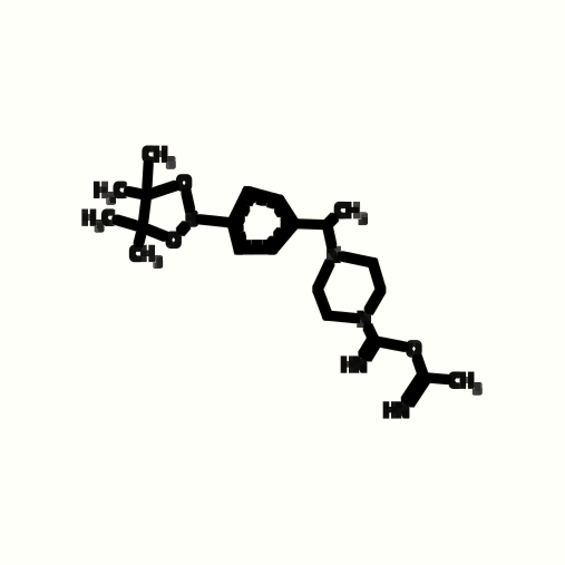 CC(=N)OC(=N)N1CCN(C(C)c2ccc(B3OC(C)(C)C(C)(C)O3)cc2)CC1